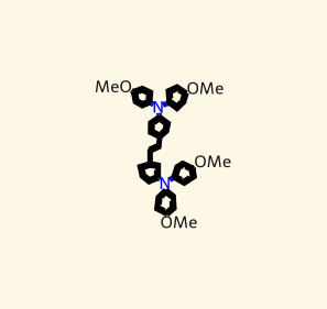 COc1ccc(N(c2ccc(C=Cc3cccc(N(c4ccc(OC)cc4)c4ccc(OC)cc4)c3)cc2)c2ccc(OC)cc2)cc1